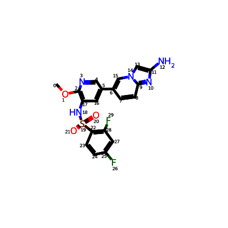 COc1ncc(-c2ccc3nc(N)cn3c2)cc1NS(=O)(=O)c1ccc(F)cc1F